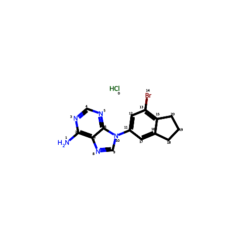 Cl.Nc1ncnc2c1ncn2-c1cc(Br)c2c(c1)CCC2